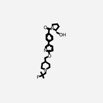 CC(C)(F)CN1CCC(COc2ccc(-c3ccc(C(=O)N4CCC[C@@H]4CO)cc3)cn2)CC1